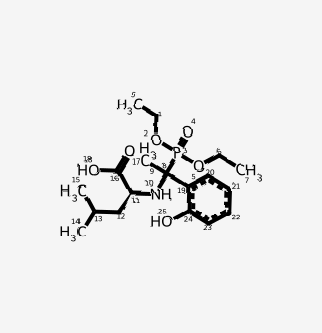 CCOP(=O)(OCC)C(C)(N[C@@H](CC(C)C)C(=O)O)c1ccccc1O